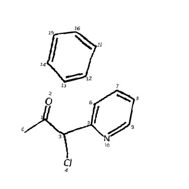 CC(=O)C(Cl)c1ccccn1.c1ccccc1